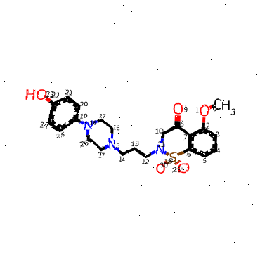 COc1cccc2c1C(=O)CN(CCCN1CCN(c3ccc(O)cc3)CC1)S2(=O)=O